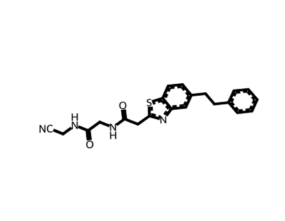 N#CCNC(=O)CNC(=O)Cc1nc2cc(CCc3ccccc3)ccc2s1